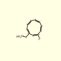 O=C(O)Cc1cccccccc(F)c1